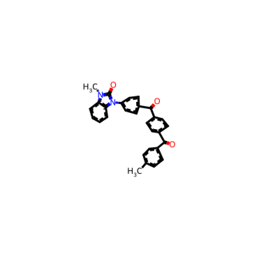 Cc1ccc(C(=O)c2ccc(C(=O)c3ccc(-n4c(=O)n(C)c5ccccc54)cc3)cc2)cc1